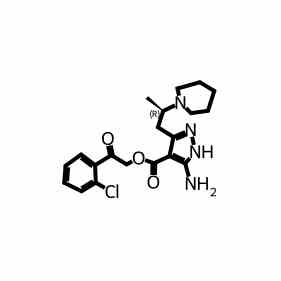 C[C@H](Cc1n[nH]c(N)c1C(=O)OCC(=O)c1ccccc1Cl)N1CCCCC1